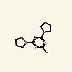 Clc1nc(N2CCCC2)nc(N2CCCC2)n1